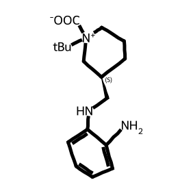 CC(C)(C)[N+]1(C(=O)[O-])CCC[C@@H](CNc2ccccc2N)C1